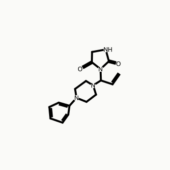 C=CC(N1CCN(c2ccccc2)CC1)N1C(=O)CNC1=O